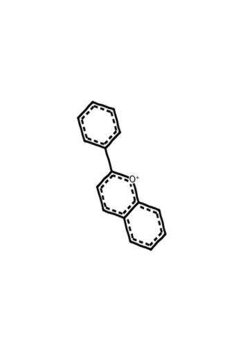 c1ccc(-c2ccc3ccccc3[o+]2)cc1